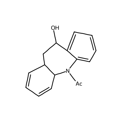 CC(=O)N1c2ccccc2C(O)CC2C=CC=CC21